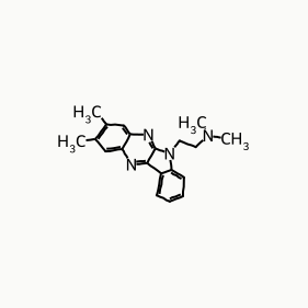 Cc1cc2nc3c4ccccc4n(CCN(C)C)c3nc2cc1C